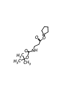 CC(C)(C)OC(=O)NCCC(=O)ON1CCCC1